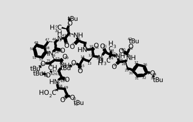 C[C@@H](OC(C)(C)C)[C@H](NC(=O)CNC(=O)[C@H](CCC(=O)OC(C)(C)C)NC(=O)C(C)(C)NC(=O)[C@H](Cc1ccc(OC(C)(C)C)cc1)NC(=O)OC(C)(C)C)C(=O)N[C@@H](Cc1ccccc1)C(=O)N[C@H](C(=O)N[C@@H](COC(C)(C)C)C(=O)N[C@@H](CC(=O)OC(C)(C)C)C(=O)O)[C@@H](C)OC(C)(C)C